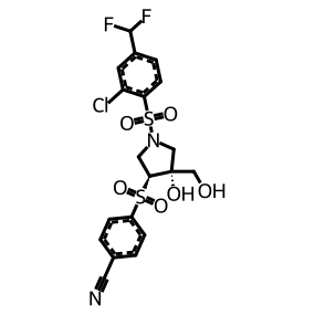 N#Cc1ccc(S(=O)(=O)[C@H]2CN(S(=O)(=O)c3ccc(C(F)F)cc3Cl)C[C@@]2(O)CO)cc1